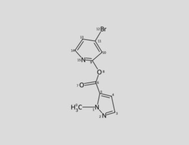 Cn1nccc1C(=O)Oc1cc(Br)ccn1